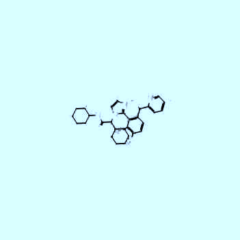 O=C(NC1CCCCC1)C(C1CCCCC1)n1ccnc1-c1c(C(O)c2ccccn2)ccc(F)c1F